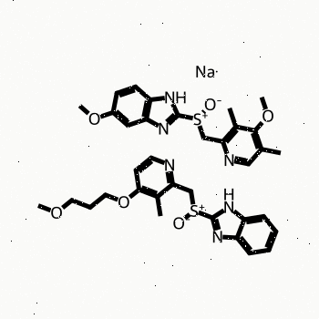 COCCCOc1ccnc(C[S+]([O-])c2nc3ccccc3[nH]2)c1C.COc1ccc2[nH]c([S+]([O-])Cc3ncc(C)c(OC)c3C)nc2c1.[Na]